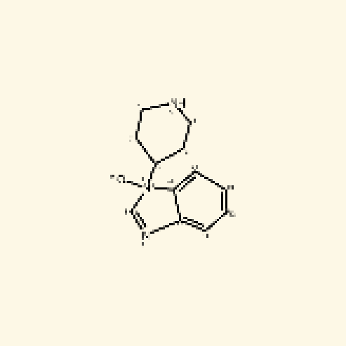 [O-][N+]1(C2CCNCC2)C=Nc2ccccc21